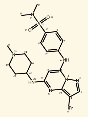 CC(C)c1cnn2c(Nc3ccc(S(=O)(=O)N(C)C)cc3)cc(NC3CCN(C)CC3)nc12